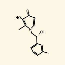 Cc1c(O)c(=O)ccn1C[C@H](O)c1cccc(F)c1